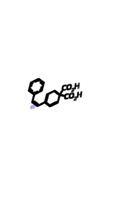 O=C(O)C1(C(=O)O)C=CC(/C=C\c2ccccc2)=CC1